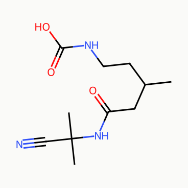 CC(CCNC(=O)O)CC(=O)NC(C)(C)C#N